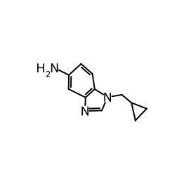 Nc1ccc2c(c1)ncn2CC1CC1